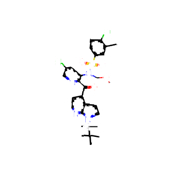 COCN(c1cc(Cl)cnc1C(=O)c1ccnc2c1ccn2[Si](C)(C)C(C)(C)C)S(=O)(=O)c1ccc(Cl)c(C)c1